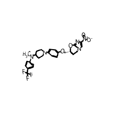 CN(c1ccc(C(F)(F)F)cc1)C1CCN(c2ccc(OC[C@H]3CCn4cc([N+](=O)[O-])nc4O3)cc2)CC1